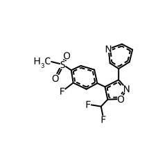 CS(=O)(=O)c1ccc(-c2c(-c3cccnc3)noc2C(F)F)cc1F